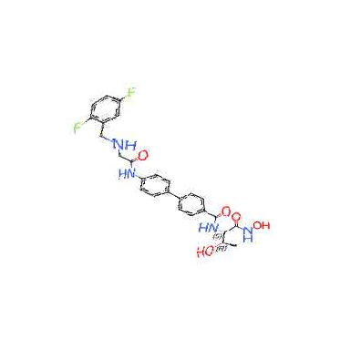 C[C@@H](O)[C@H](NC(=O)c1ccc(-c2ccc(NC(=O)CNCc3cc(F)ccc3F)cc2)cc1)C(=O)NO